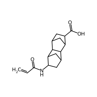 C=CC(=O)NC1CC2CC1C1C3CC(C(=O)O)C(C3)C21